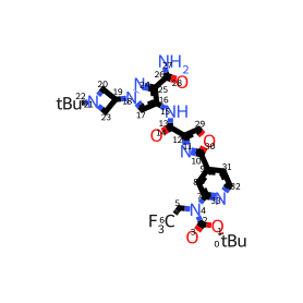 CC(C)(C)OC(=O)N(CC(F)(F)F)c1cc(-c2nc(C(=O)Nc3cn(C4CN(C(C)(C)C)C4)nc3C(N)=O)co2)ccn1